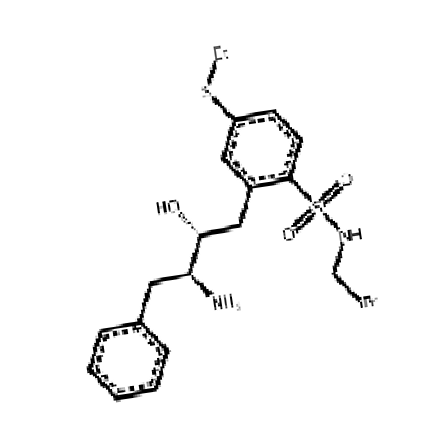 CCSc1ccc(S(=O)(=O)NCC(C)C)c(C[C@@H](O)[C@@H](N)Cc2ccccc2)c1